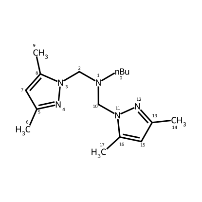 CCCCN(Cn1nc(C)cc1C)Cn1nc(C)cc1C